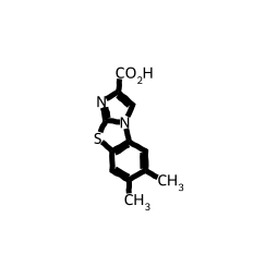 Cc1cc2sc3nc(C(=O)O)cn3c2cc1C